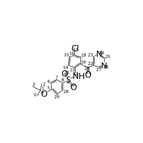 CC(C)(C)Oc1ccc(S(=O)(=O)Nc2ccc(Cl)cc2C(=O)c2cncnc2)cc1